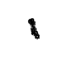 CN(C(=O)Cc1ccccc1)c1ccc(/C=C/c2ccc3c(c2)OCO3)cc1